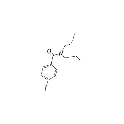 CCCN(CCC)C(=O)c1ccc(I)cc1